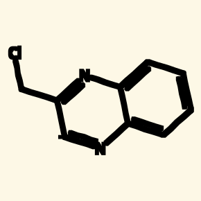 ClCc1[c]nc2ccccc2n1